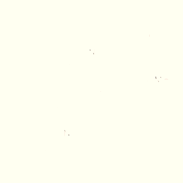 COC(=O)c1nc2ccc3cccnc3c2s1